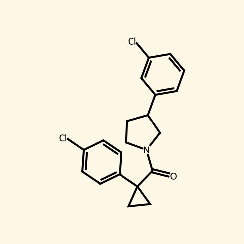 O=C(N1CCC(c2cccc(Cl)c2)C1)C1(c2ccc(Cl)cc2)CC1